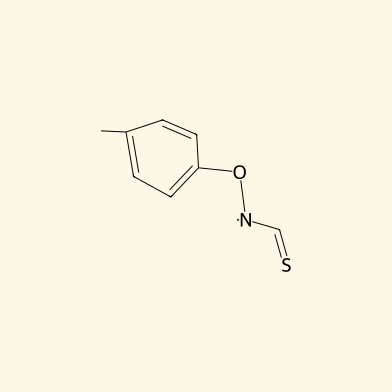 Cc1ccc(O[N]C=S)cc1